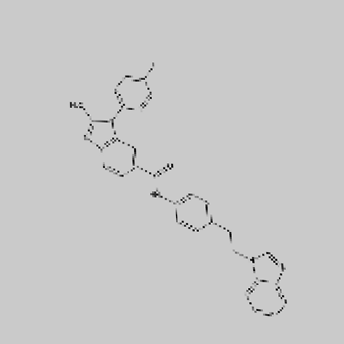 Cc1nc2ccc(C(=O)Nc3ccc(CCn4cnc5ccccc54)cc3)cc2n1-c1ccc(F)cc1